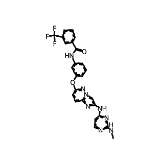 CNc1nccc(Nc2cn3nc(Oc4cccc(NC(=O)c5cccc(C(F)(F)F)c5)c4)ccc3n2)n1